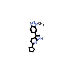 Cn1nnc2ccc(-c3c[nH]c4nc(C5CCCC5)ccc34)cc21